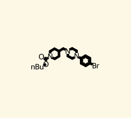 CCCCOC(=O)N1CCC(CN2CCN(c3ccc(Br)cc3)CC2)CC1